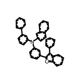 c1ccc(-c2cccc(N(c3cccc(-c4oc5ccccc5c4-c4ccccc4)c3)c3ccc4ccccc4c3)c2)cc1